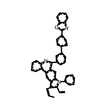 C=Cc1c(/C=C\C)c2cc3c(cc2n1-c1ccccc1)c(-c1cccc(-c2ccc(-c4nc5ccccc5o4)cc2)c1)nc1ccccc13